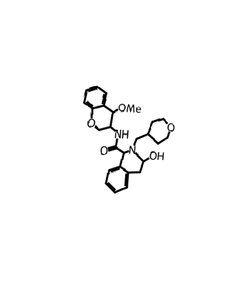 COC1c2ccccc2OCC1NC(=O)C1c2ccccc2CC(O)N1CC1CCOCC1